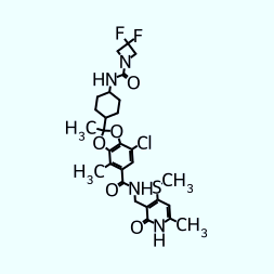 CSc1cc(C)[nH]c(=O)c1CNC(=O)c1cc(Cl)c2c(c1C)OC(C)(C1CCC(NC(=O)N3CC(F)(F)C3)CC1)O2